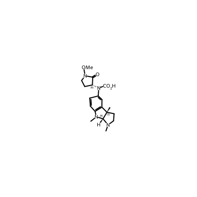 CON1CC[C@@H](N(C(=O)O)c2ccc3c(c2)[C@]2(C)CCN(C)[C@@H]2N3C)C1=O